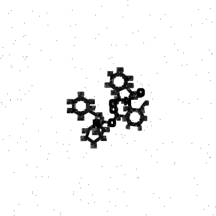 Cc1cccc(C(=O)OCC2C3CCC2N(Cc2ccccc2)C3)c1N1C(=O)c2ccccc2C1=O